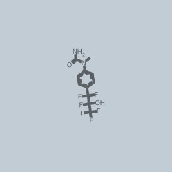 CN(C(N)=O)c1ccc(C(F)(F)C(O)(F)C(F)(F)F)cc1